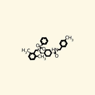 Cc1ccc(CNC(=O)[C@H]2CC[C@H](CN(Cc3c(C)cccc3C)S(=O)(=O)c3ccccc3)CC2)cc1